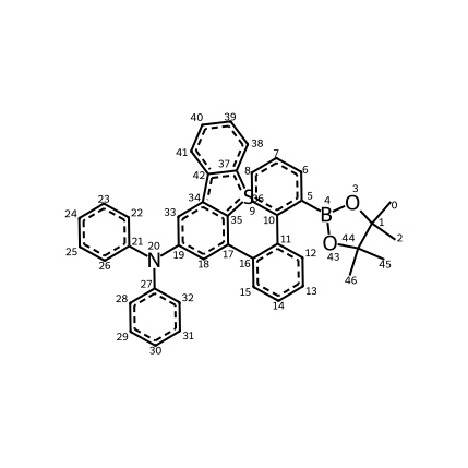 CC1(C)OB(c2ccccc2-c2ccccc2-c2cc(N(c3ccccc3)c3ccccc3)cc3c2sc2ccccc23)OC1(C)C